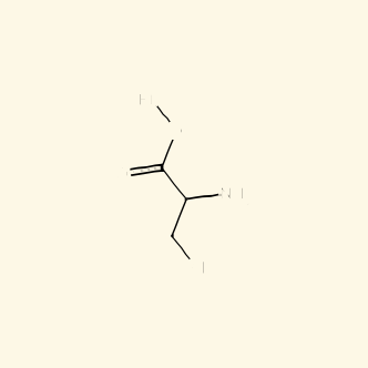 CCOC(=O)C(N)CCl